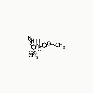 CCCCOc1ccc(C(=O)Nc2cc(Cn3cncn3)cc(C(=O)OC)c2)cc1